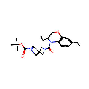 CCc1ccc2c(c1)OCC(CC)N2C(=O)N1CC2(CN(C(=O)OC(C)(C)C)C2)C1